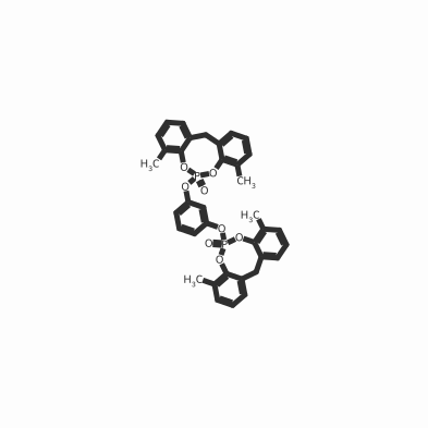 Cc1cccc2c1OP(=O)(Oc1cccc(OP3(=O)Oc4c(C)cccc4Cc4cccc(C)c4O3)c1)Oc1c(C)cccc1C2